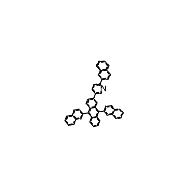 c1ccc2cc(-c3ccc(-c4ccc5c(-c6ccc7ccccc7c6)c6ccccc6c(-c6ccc7ccccc7c6)c5c4)cn3)ccc2c1